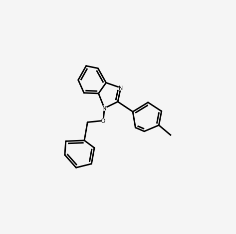 Cc1ccc(-c2nc3ccccc3n2OCc2ccccc2)cc1